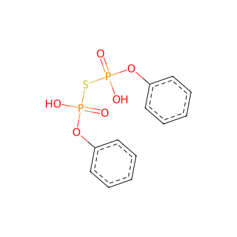 O=P(O)(Oc1ccccc1)SP(=O)(O)Oc1ccccc1